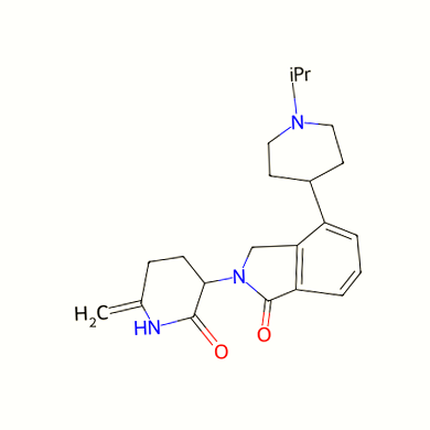 C=C1CCC(N2Cc3c(cccc3C3CCN(C(C)C)CC3)C2=O)C(=O)N1